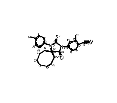 Cc1ccc(N2C(=S)N(c3ccc(C#N)c(C)c3)C(=O)C23CCCCCCC3)cc1